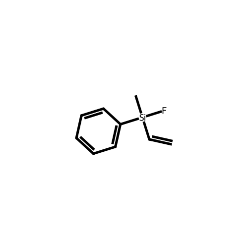 C=C[Si](C)(F)c1ccccc1